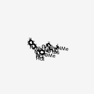 CN[C@@H](C)C(=O)N[C@H](C(=O)N1CCC[C@H]1C(=O)Nc1cc2c(Nc3cnc4ccccc4c3)ncnc2cc1OC)C(C)(C)C.Cl.Cl